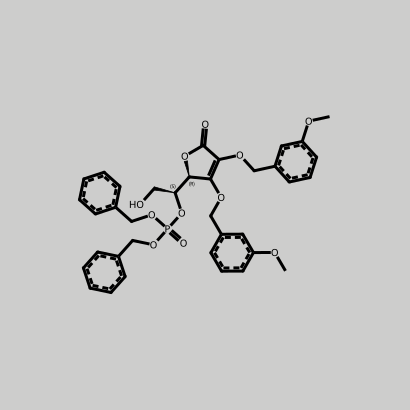 COc1cccc(COC2=C(OCc3cccc(OC)c3)[C@@H]([C@H](CO)OP(=O)(OCc3ccccc3)OCc3ccccc3)OC2=O)c1